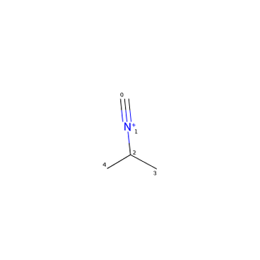 C#[N+]C(C)C